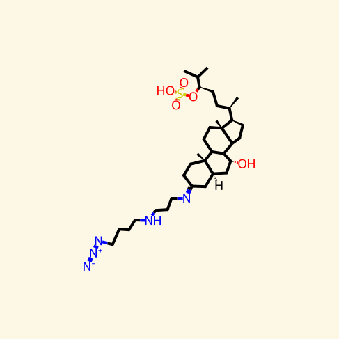 CC(C)[C@@H](CC[C@@H](C)[C@H]1CCC2C3C(CC[C@@]21C)[C@@]1(C)CC/C(=N\CCCNCCCCN=[N+]=[N-])C[C@@H]1C[C@H]3O)OS(=O)(=O)O